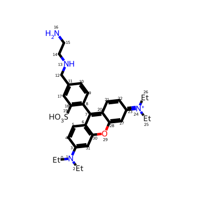 CCN(CC)c1ccc2c(-c3ccc(CNCCN)cc3S(=O)(=O)O)c3ccc(=[N+](CC)CC)cc-3oc2c1